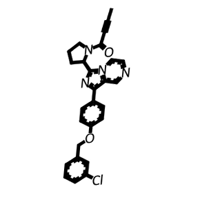 CC#CC(=O)N1CCCC1c1nc(-c2ccc(OCc3cccc(Cl)c3)cc2)c2cnccn12